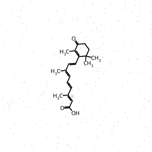 CC(C=CC1=C(C)C(=O)CCC1(C)C)=CC=C/C(C)=C/C(=O)O